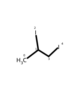 CC(I)CI